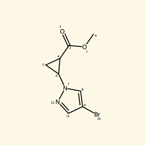 COC(=O)C1CC1n1cc(Br)cn1